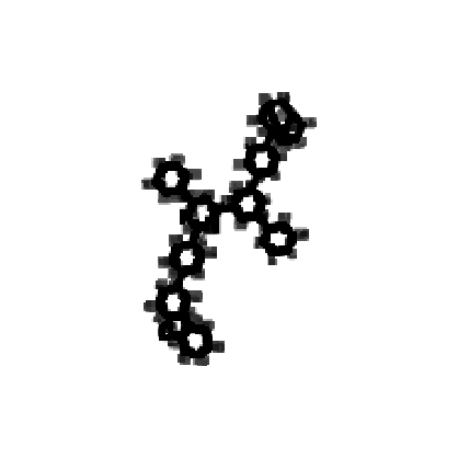 c1ccc(-c2cc(-c3ccc(C45CC6CC(CC(C6)C4)C5)cc3)cc(-c3cc(-c4ccccc4)nc(-c4ccc(-c5ccc6oc7ccccc7c6c5)cc4)n3)c2)cc1